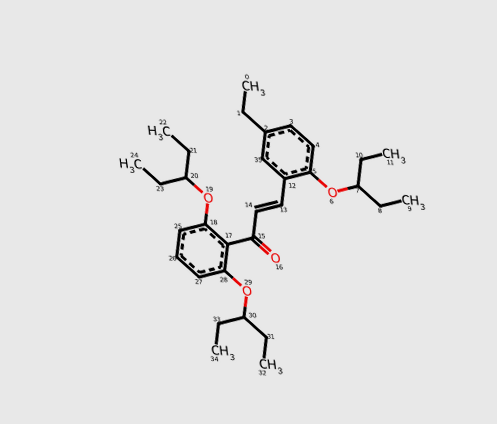 CCc1ccc(OC(CC)CC)c(C=CC(=O)c2c(OC(CC)CC)cccc2OC(CC)CC)c1